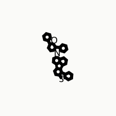 c1ccc2c(c1)oc1c2ccc2c1c1ccccc1n2-c1ccc2c3c(cccc13)-c1c-2ccc2sc3ccccc3c12